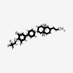 CCCC1CC[C@@H]2C[C@H](c3ccc(-c4cc(F)c(OCC(F)(F)F)c(F)c4)cc3)CC[C@@H]2C1